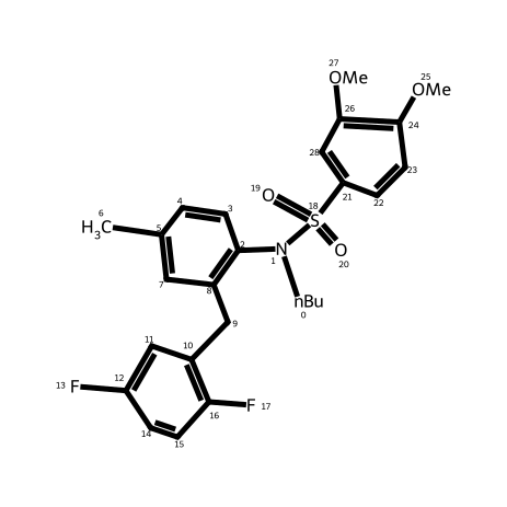 CCCCN(c1ccc(C)cc1Cc1cc(F)ccc1F)S(=O)(=O)c1ccc(OC)c(OC)c1